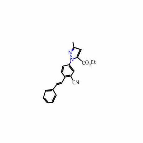 CCOC(=O)c1cc(C)nn1-c1ccc(C=Cc2ccccc2)c(C#N)c1